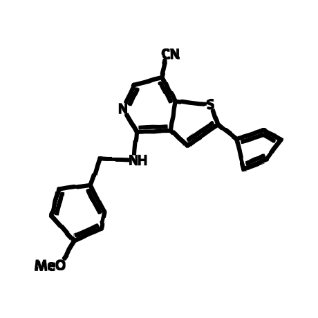 COc1ccc(CNc2ncc(C#N)c3sc(C4=C=CC=C4)cc23)cc1